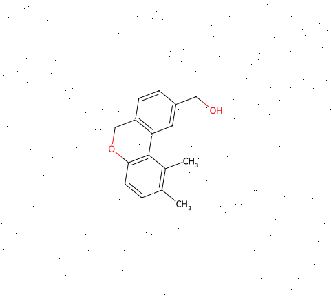 Cc1ccc2c(c1C)-c1cc(CO)ccc1CO2